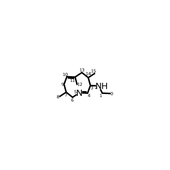 CCNC1/C=N/CC(C)C/C=C(\C)CC1C